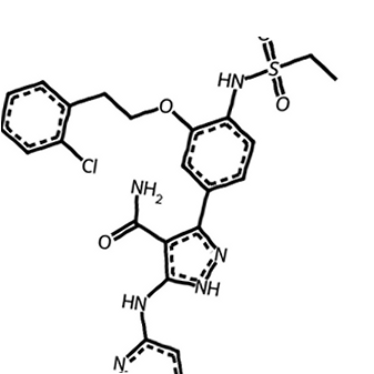 CCS(=O)(=O)Nc1ccc(-c2n[nH]c(Nc3cnccn3)c2C(N)=O)cc1OCCc1ccccc1Cl